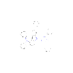 c1ccc(-c2cc3c4ccccc4n4c5ccccc5c5ccc6c(c3c(c2)n6-c2nc(-c3ccccc3)nc(-c3ccccc3)n2)c54)cc1